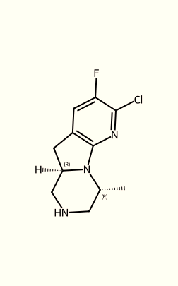 C[C@@H]1CNC[C@H]2Cc3cc(F)c(Cl)nc3N21